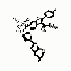 CNC(=O)c1c(-c2ccc(F)cc2)oc2cc(N(C)S(C)(=O)=O)c(-c3cccc(-c4nc5cc(F)cnc5o4)c3)cc12